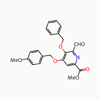 COC(=O)c1cc(OCc2ccc(OC)cc2)c(OCc2ccccc2)c(C=O)n1